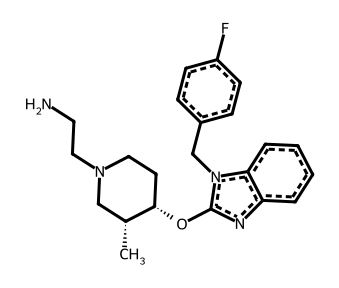 C[C@@H]1CN(CCN)CC[C@@H]1Oc1nc2ccccc2n1Cc1ccc(F)cc1